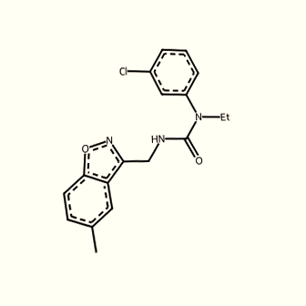 CCN(C(=O)NCc1noc2ccc(C)cc12)c1cccc(Cl)c1